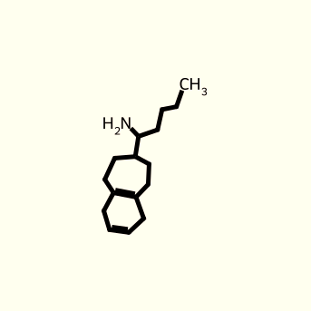 CCCCC(N)C1CCC2=C(CC=CC2)CC1